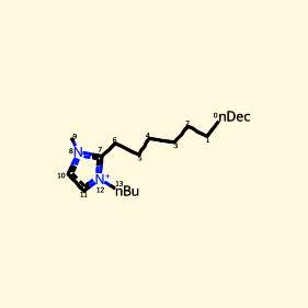 CCCCCCCCCCCCCCCCc1n(C)cc[n+]1CCCC